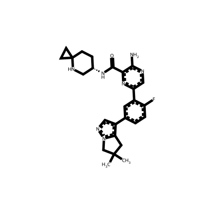 CC1(C)Cc2c(-c3ccc(F)c(-c4cnc(N)c(C(=O)N[C@H]5CCC6(CC6)NC5)n4)c3)cnn2C1